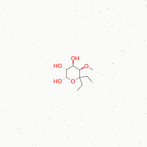 CCC1(CC)O[C@H](O)[C@H](O)[C@@H](O)[C@H]1OC